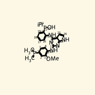 COc1cc(P(C)C)ccc1Nc1nc(Nc2ccccc2P(O)C(C)C)c2cc[nH]c2n1